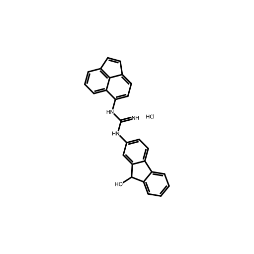 Cl.N=C(Nc1ccc2c(c1)C(O)c1ccccc1-2)Nc1ccc2c3c(cccc13)C=C2